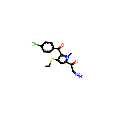 CCSc1cc(C(=O)C=[N+]=[N-])n(C)c1C(=O)c1ccc(Cl)cc1